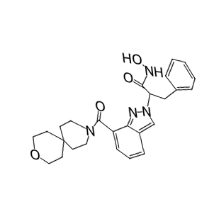 O=C(NO)C(Cc1ccccc1)n1cc2cccc(C(=O)N3CCC4(CCOCC4)CC3)c2n1